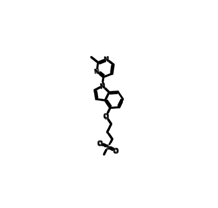 Cc1nccc(-n2ccc3c(OCCCS(C)(=O)=O)cccc32)n1